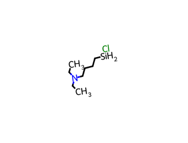 CCN(CC)CCCC[SiH2]Cl